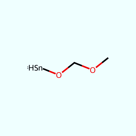 COC[O][SnH]